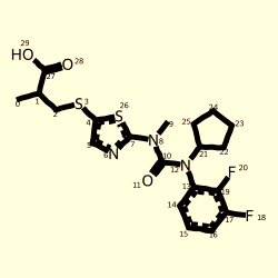 CC(CSc1cnc(N(C)C(=O)N(c2cccc(F)c2F)C2CCCC2)s1)C(=O)O